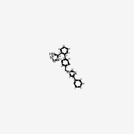 c1ccc(-c2cn(Cc3ccc(-c4ccccc4-c4nnn[nH]4)cc3)cn2)cc1